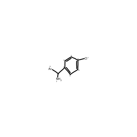 CC(=O)C(N)c1ccc(Cl)cc1